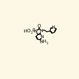 Nc1ccc2c(n1)n(CCc1cccnc1)c(=O)n2C(=O)O